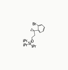 CC(C)[Si](OCCC1(c2ccccc2Br)CC1)(C(C)C)C(C)C